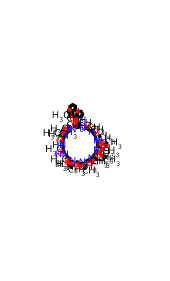 C/C=C/C[C@@H](C)[C@@H](OC(C)=O)[C@H]1C(=O)N[C@@H](CC)C(=O)N(C)[C@H](C)C(=O)N[C@@H]([C@H](C)CCO[Si](c2ccccc2)(c2ccccc2)C(C)(C)C)C(=O)N[C@@H](C(C)C)C(=O)N(C)[C@@H](CC(C)C)C(=O)N[C@@H](C)C(=O)N[C@H](C)C(=O)N(C)[C@@H](CC(C)C)C(=O)N(C)[C@@H](CC(C)C)C(=O)N(C)[C@@H](C(C)C)C(=O)N1C